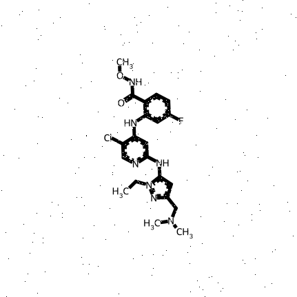 CCn1nc(CN(C)C)cc1Nc1cc(Nc2cc(F)ccc2C(=O)NOC)c(Cl)cn1